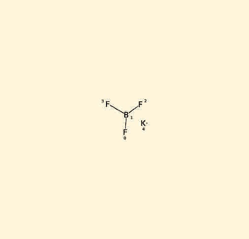 FB(F)F.[K]